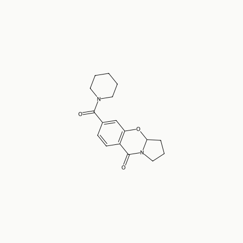 O=C(c1ccc2c(c1)OC1CCCN1C2=O)N1CCCCC1